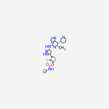 Cc1nc(Nc2cc([C@H]3CC[C@@H](OC(=O)NC45CC(C4)C5)[C@H]3F)[nH]n2)n2ccnc2c1-c1cccnc1